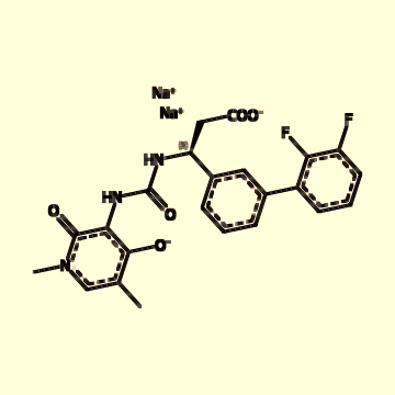 Cc1cn(C)c(=O)c(NC(=O)N[C@@H](CC(=O)[O-])c2cccc(-c3cccc(F)c3F)c2)c1[O-].[Na+].[Na+]